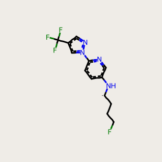 FCCC[CH]Nc1ccc(-n2cc(C(F)(F)F)cn2)nc1